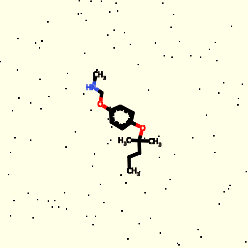 CCCC(C)(C)Oc1ccc(OCNC)cc1